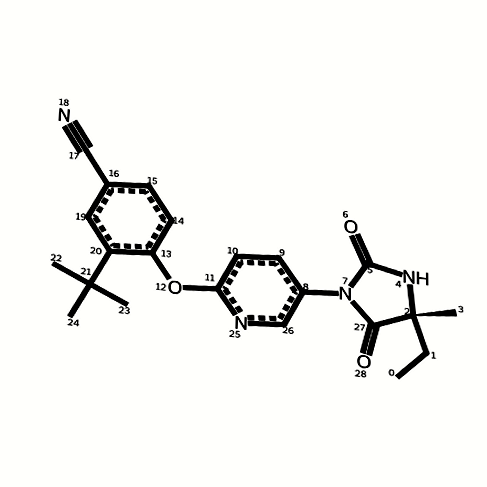 CC[C@@]1(C)NC(=O)N(c2ccc(Oc3ccc(C#N)cc3C(C)(C)C)nc2)C1=O